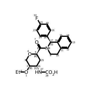 CCO[C@H]1CO[C@@H](C(=O)N2CCc3ccccc3[C@@H]2c2ccc(F)cc2)C[C@@H]1NC(=O)O